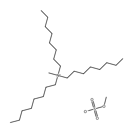 CCCCCCCC[N+](C)(CCCCCCCC)CCCCCCCC.COS(=O)(=O)[O-]